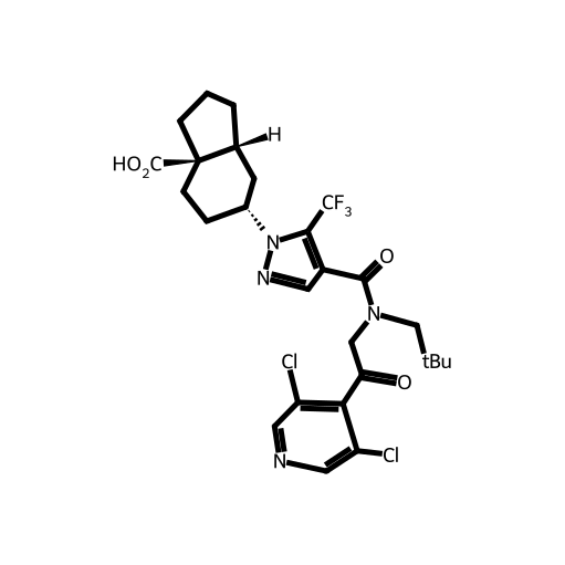 CC(C)(C)CN(CC(=O)c1c(Cl)cncc1Cl)C(=O)c1cnn([C@@H]2CC[C@]3(C(=O)O)CCC[C@@H]3C2)c1C(F)(F)F